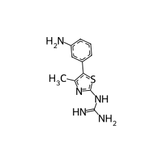 Cc1nc(NC(=N)N)sc1-c1cccc(N)c1